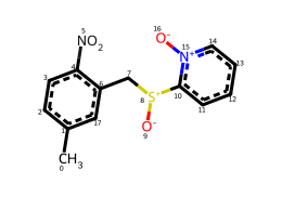 Cc1ccc([N+](=O)[O-])c(C[S+]([O-])c2cccc[n+]2[O-])c1